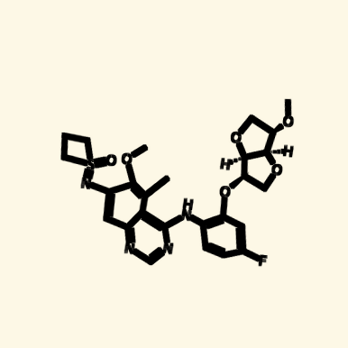 COc1c(N=S2(=O)CCC2)cc2ncnc(Nc3ccc(F)cc3O[C@@H]3CO[C@H]4[C@@H]3OC[C@H]4OC)c2c1C